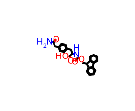 NC(=O)Cc1ccc(CC(NC(=O)OCC2c3ccccc3-c3ccccc32)C(=O)O)cc1